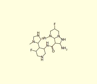 CCCN1CC(F)CN2NC(N)C(C(=O)NC3CNCC(F)C3C3CNCN3C)C12